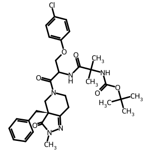 CN1N=C2CCN(C(=O)C(COc3ccc(Cl)cc3)NC(=O)C(C)(C)NC(=O)OC(C)(C)C)C[C@@]2(Cc2ccccc2)C1=O